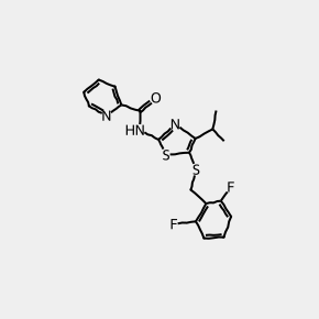 CC(C)c1nc(NC(=O)c2ccccn2)sc1SCc1c(F)cccc1F